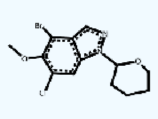 COc1c(Cl)cc2c(cnn2C2CCCCO2)c1Br